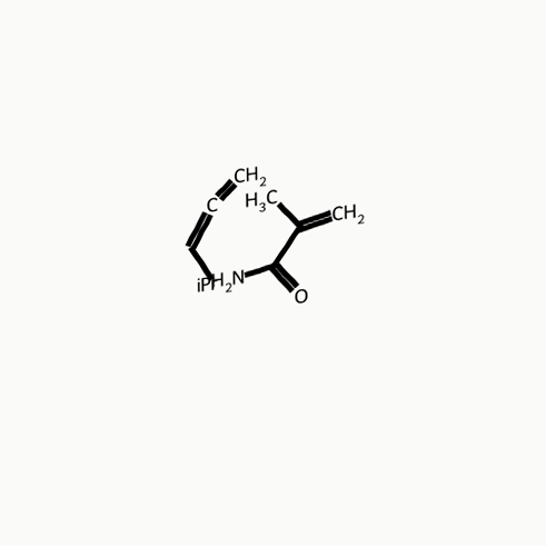 C=C(C)C(N)=O.[CH2]C(C)C=C=C